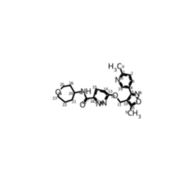 Cc1ccc(-c2noc(C)c2COc2ccc(C(=O)NC3CCCOCC3)nn2)cn1